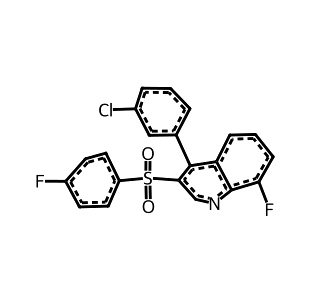 O=S(=O)(c1ccc(F)cc1)c1cnc2c(F)cccc2c1-c1cccc(Cl)c1